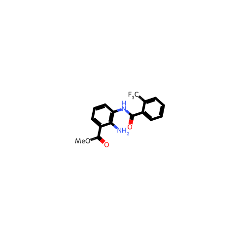 COC(=O)c1cccc(NC(=O)c2ccccc2C(F)(F)F)c1N